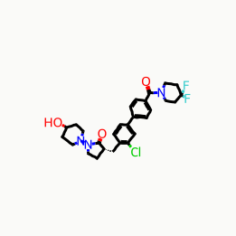 O=C(c1ccc(-c2ccc(C[C@@H]3CCN(N4CCC(O)CC4)C3=O)c(Cl)c2)cc1)N1CCC(F)(F)CC1